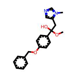 COC(O)(Cc1cncn1C)c1ccc(OCc2ccccc2)cc1